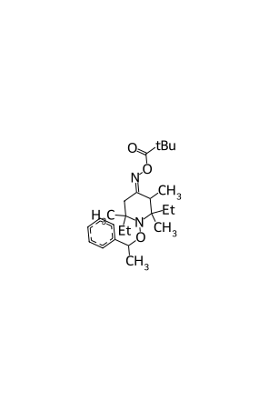 CCC1(C)CC(=NOC(=O)C(C)(C)C)C(C)C(C)(CC)N1OC(C)c1ccccc1